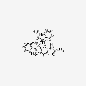 CC(=O)NC1C=CC(C)=C(C(C)(Cc2ccccc2)C(C)/C=C2\Oc3ccccc3N2C)C1